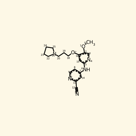 COc1cnc(Nc2ccnc(C#N)c2)cc1OCCCN1CCCC1